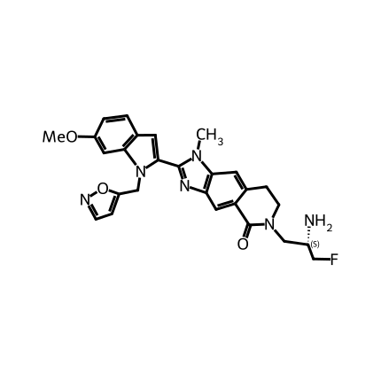 COc1ccc2cc(-c3nc4cc5c(cc4n3C)CCN(C[C@H](N)CF)C5=O)n(Cc3ccno3)c2c1